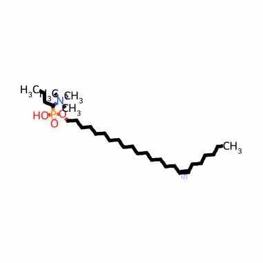 CCCCCC/C=C\CCCCCCCCCCCCCCCCOP(=O)(O)C(CCC)[N+](C)(C)C